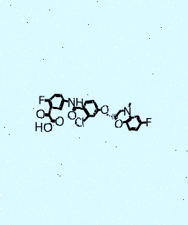 CN1C[C@@H](COc2ccc(C(=O)Nc3ccc(F)c(C(=O)C(=O)O)c3)c(Cl)c2)Oc2ccc(F)cc21